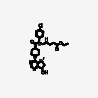 CCOC(=O)CCNC[C@@H](C(=O)N1CCN(c2ncnc3c2[C@H](C)C[C@H]3O)CC1)c1ccc(Cl)cc1